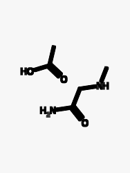 CC(=O)O.CNCC(N)=O